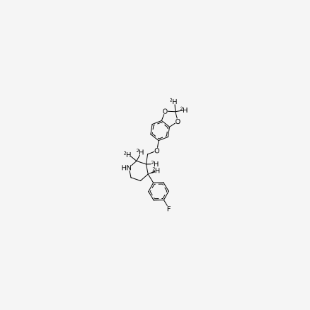 [2H]C1([2H])Oc2ccc(OCC3([2H])C([2H])([2H])NCC[C@@]3([2H])c3ccc(F)cc3)cc2O1